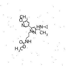 COC(=O)NCCCn1nc(C(C)NC2CC2)cc1-c1ccc(OC)nc1